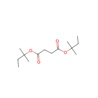 CCC(C)(C)OC(=O)CCC(=O)OC(C)(C)CC